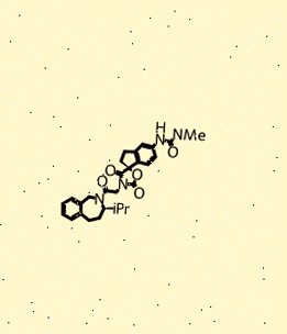 CNC(=O)Nc1ccc2c(c1)CC[C@]21OC(=O)N(CC(=O)N2Cc3ccccc3CC[C@@H]2C(C)C)C1=O